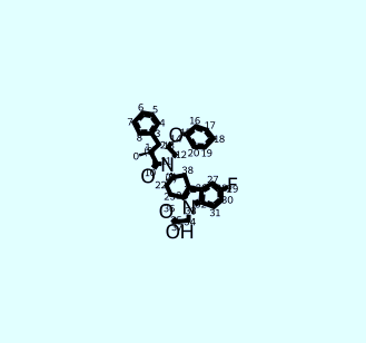 C[C@@H](Cc1ccccc1)C(=O)N(CCOc1ccccc1)[C@H]1CCc2c(c3cc(F)ccc3n2CC(=O)O)C1